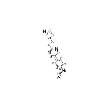 CCCCCc1ncc(-c2ccc(N=C=S)cc2)cn1